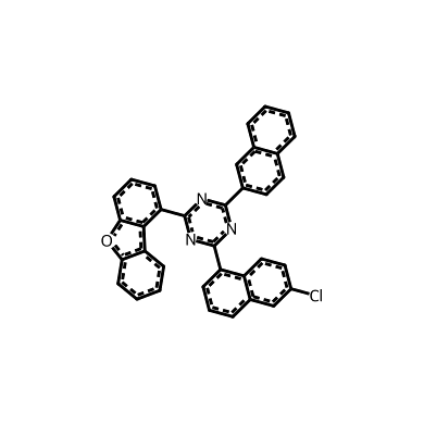 Clc1ccc2c(-c3nc(-c4ccc5ccccc5c4)nc(-c4cccc5oc6ccccc6c45)n3)cccc2c1